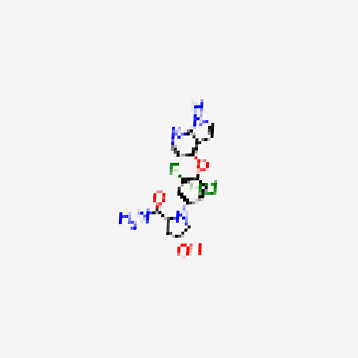 Cl.NC(=O)[C@@H]1C[C@@H](O)CN1c1ccc(Oc2ccnc3[nH]ccc23)c(F)c1